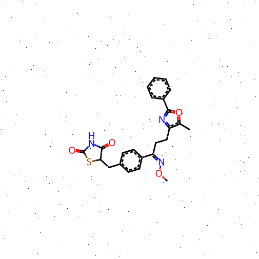 CON=C(CCc1nc(-c2ccccc2)oc1C)c1ccc(CC2SC(=O)NC2=O)cc1